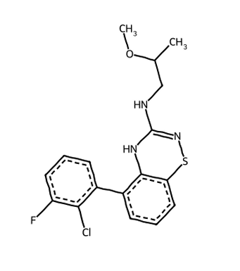 COC(C)CNC1=NSc2cccc(-c3cccc(F)c3Cl)c2N1